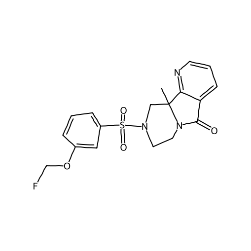 CC12CN(S(=O)(=O)c3cccc(OCF)c3)CCN1C(=O)c1cccnc12